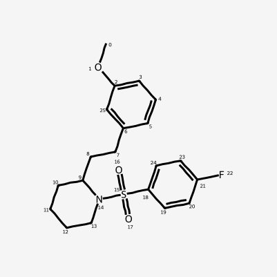 COc1cccc(CCC2CCCCN2S(=O)(=O)c2ccc(F)cc2)c1